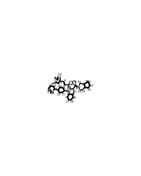 Cc1cc(C=CC(=O)N(Cc2ccc(-c3cccnn3)cc2)[C@@H](Cc2ccccc2)C(=O)N2CCc3ccccc3C2)n(C)n1